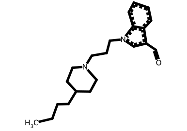 CCCCC1CCN(CCCn2cc(C=O)c3ccccc32)CC1